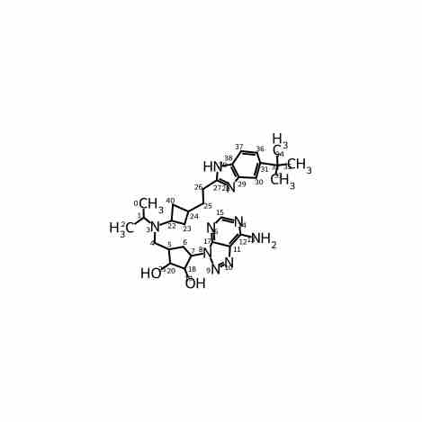 CC(C)N(CC1CC(n2nnc3c(N)ncnc32)C(O)C1O)C1CC(CCc2nc3cc(C(C)(C)C)ccc3[nH]2)C1